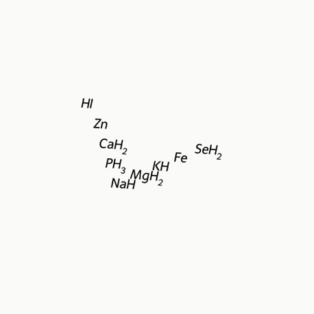 I.P.[CaH2].[Fe].[KH].[MgH2].[NaH].[SeH2].[Zn]